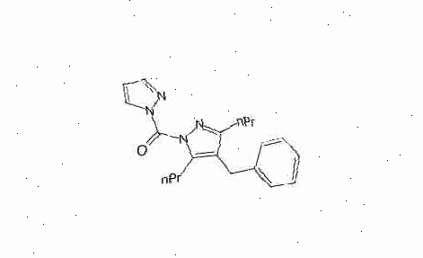 CCCc1nn(C(=O)n2cccn2)c(CCC)c1Cc1ccccc1